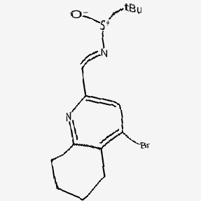 CC(C)(C)[S+]([O-])N=Cc1cc(Br)c2c(n1)CCCC2